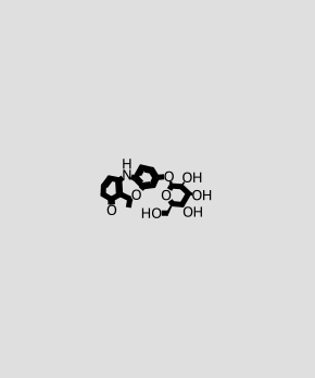 CC1Oc2cc(O[C@@H]3O[C@H](CO)[C@H](O)[C@H](O)[C@H]3O)ccc2NC2=C1C(=O)CC=C2